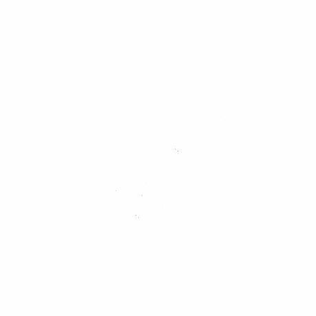 CC1=CC2c3cc(C)cc(C)c3C(C3C4c5ccccc5C5=C(C)C=CCN5C34C)=CN2C=C1c1ccccc1